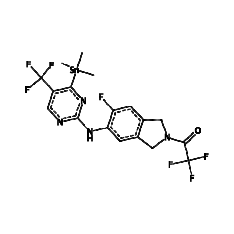 [CH3][Sn]([CH3])([CH3])[c]1nc(Nc2cc3c(cc2F)CN(C(=O)C(F)(F)F)C3)ncc1C(F)(F)F